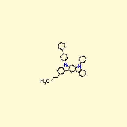 CCCCc1ccc2c(c1)c1cc3c4ccccc4n(-c4ccccc4)c3cc1n2-c1ccc(-c2ccccc2)cc1